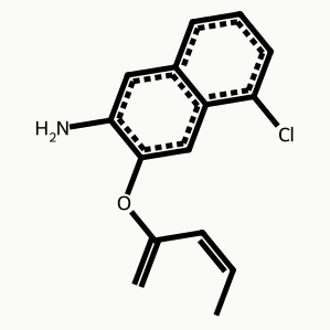 C=C(/C=C\C)Oc1cc2c(Cl)cccc2cc1N